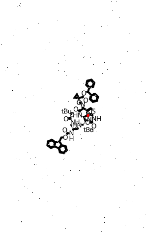 CC(C)(C)OC(=O)NC[C@H](CNC[C@H]1NC(=O)[C@H]1NC(=O)C(=NOC1(C(=O)OC(c2ccccc2)c2ccccc2)CC1)c1csc(NC(=O)OC(C)(C)C)n1)NC(=O)OCC1c2ccccc2-c2ccccc21